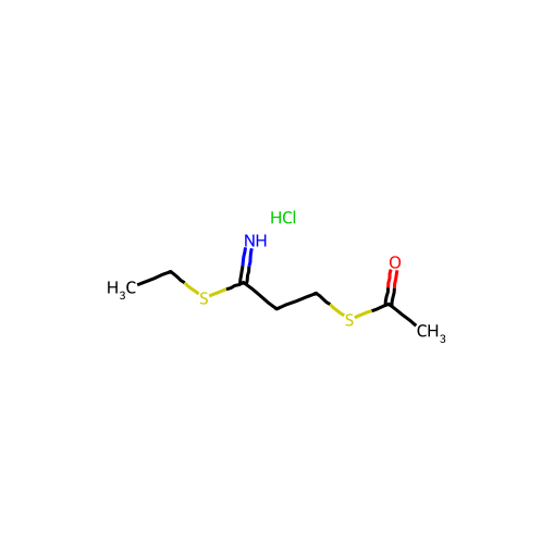 CCSC(=N)CCSC(C)=O.Cl